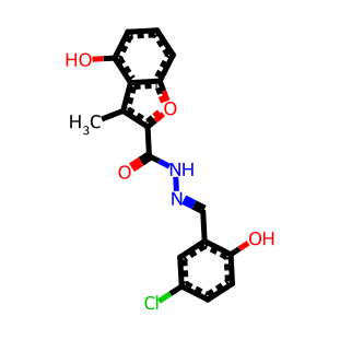 Cc1c(C(=O)NN=Cc2cc(Cl)ccc2O)oc2cccc(O)c12